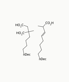 CCCCCCCCCCCCCCC(C)(CC(=O)O)C(=O)O.CCCCCCCCCCCCCCC=CC(C)C(=O)O